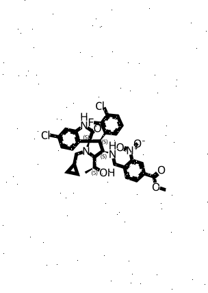 COC(=O)c1ccc(CN[C@@H]2C([C@H](C)O)N(CC3CC3)[C@@]3(C(=O)Nc4cc(Cl)ccc43)[C@H]2c2cccc(Cl)c2F)c([N+](=O)[O-])c1